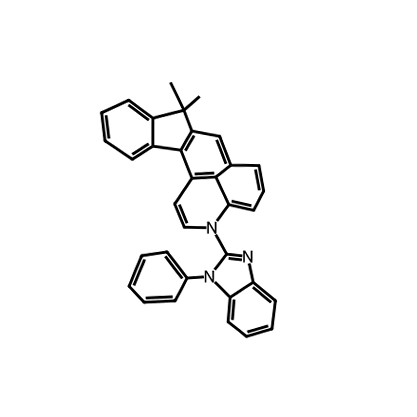 CC1(C)c2ccccc2-c2c1cc1cccc3c1c2C=CN3c1nc2ccccc2n1-c1ccccc1